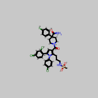 CS(=O)(=O)NCCCc1c(C(=O)N2CCC(C(N)=O)(c3ccc(F)cc3)CC2)cc(-c2ccc(Cl)cc2Cl)n1-c1ccc(Cl)cc1